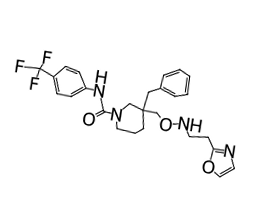 O=C(Nc1ccc(C(F)(F)F)cc1)N1CCCC(CONCCc2ncco2)(Cc2ccccc2)C1